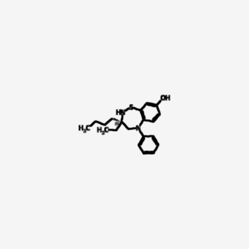 CCCC[C@@]1(CC)CN(c2ccccc2)c2ccc(O)cc2SN1